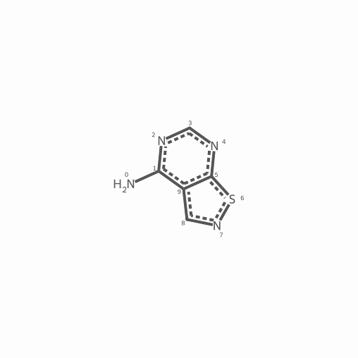 Nc1ncnc2sncc12